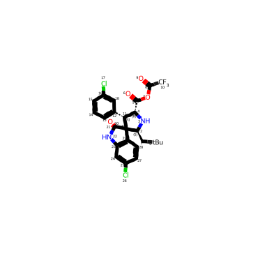 CC(C)(C)C[C@@H]1N[C@@H](C(=O)OC(=O)C(F)(F)F)[C@@H](c2cccc(Cl)c2)C12C(=O)Nc1cc(Cl)ccc12